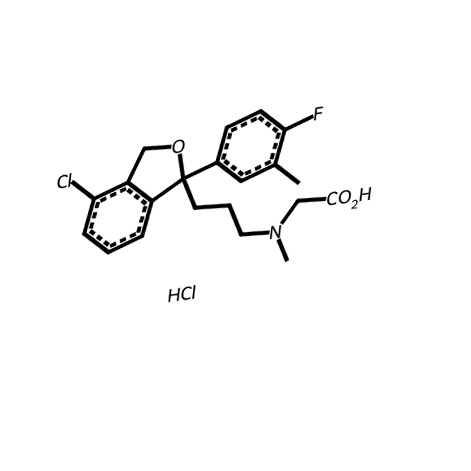 Cc1cc(C2(CCCN(C)CC(=O)O)OCc3c(Cl)cccc32)ccc1F.Cl